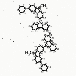 Cn1c2ccc(-c3ccccc3)cc2c2cc(-n3c4ccccc4c4cc(Oc5ccc6c(c5)c5ccccc5n6-c5ccc6c(c5)c5cc(-c7ccccc7)ccc5n6C)ccc43)ccc21